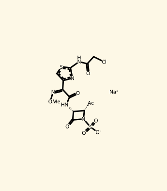 CO/N=C(\C(=O)N[C@H]1C(=O)N(S(=O)(=O)[O-])[C@H]1C(C)=O)c1csc(NC(=O)CCl)n1.[Na+]